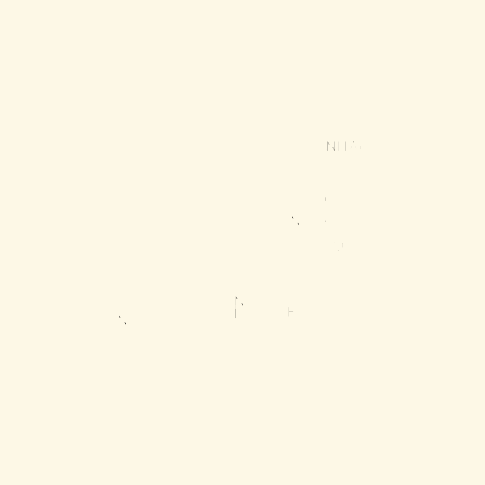 CC(=O)NCC1CN(c2ccc(NCCc3ccncc3)c(F)c2)C(=O)O1